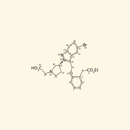 CCOC(=O)Cc1ccccc1OCc1c2cc(Br)ccc2nn1[C@H]1CCN(CC(=O)O)C1